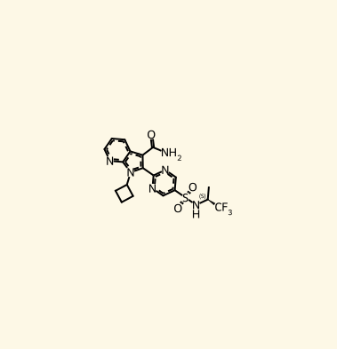 C[C@H](NS(=O)(=O)c1cnc(-c2c(C(N)=O)c3cccnc3n2C2CCC2)nc1)C(F)(F)F